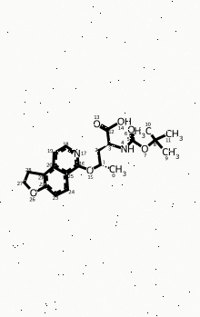 C[C@@H](C[C@H](NC(=O)OC(C)(C)C)C(=O)O)Oc1nccc2c3c(ccc12)OCC3